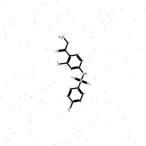 O=C(C[N+](=O)[O-])c1ccc(NS(=O)(=O)c2ccc(Cl)cc2)cc1Cl